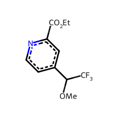 CCOC(=O)c1cc(C(OC)C(F)(F)F)ccn1